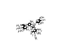 NCC1O[C@H](OC2C(O)[C@H](OC3C(O)[C@H](N)CC(N)[C@H]3O[C@H]3OC(CN)[C@@H](O)C(O)C3N)O[C@@H]2CS[C@@H]2O[C@H](CO)C(O)C2O)C(N)C(O)[C@@H]1O